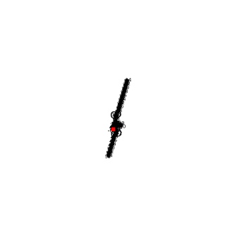 [CH2]CC(Oc1c(C(C)(C)C)cc(CCC(=O)OCCCCCCCCCCCCCCCCCC)cc1C(C)(C)C)C(=O)OCCCCCCCCCCCC